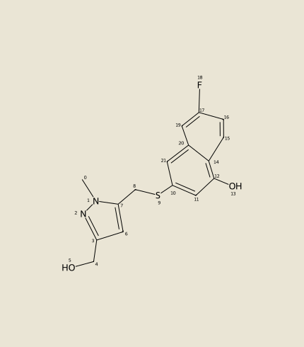 Cn1nc(CO)cc1CSc1cc(O)c2ccc(F)cc2c1